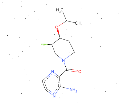 CC(C)O[C@H]1CCN(C(=O)c2nccnc2N)C[C@H]1F